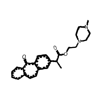 CC(C(=O)OCCN1CCN(C)CC1)c1ccc2c(=O)c3ccccc3ccc2c1